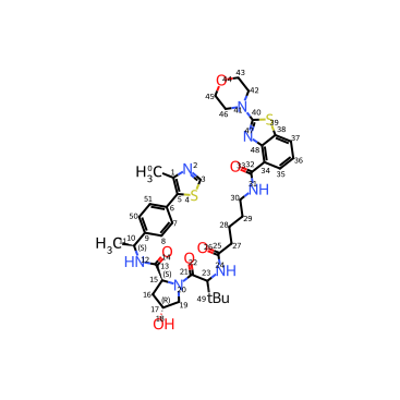 Cc1ncsc1-c1ccc([C@H](C)NC(=O)[C@@H]2C[C@@H](O)CN2C(=O)C(NC(=O)CCCCNC(=O)c2cccc3sc(N4CCOCC4)nc23)C(C)(C)C)cc1